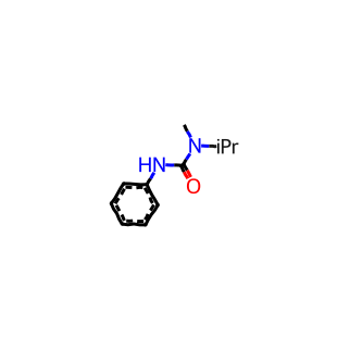 CC(C)N(C)C(=O)Nc1ccccc1